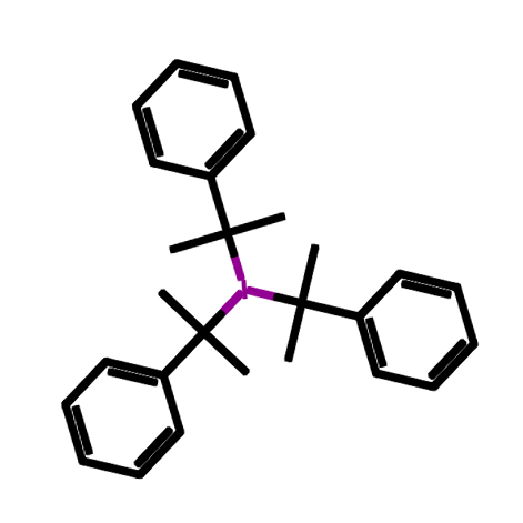 CC(C)(c1ccccc1)I(C(C)(C)c1ccccc1)C(C)(C)c1ccccc1